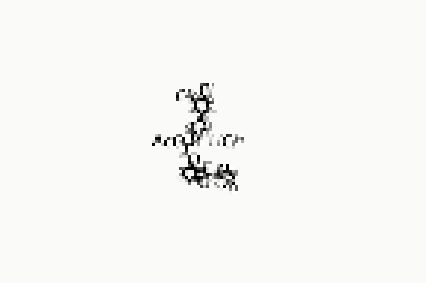 CC(=O)O[C@H](COc1cccc2oc(-c3nnc(C)o3)cc12)CN1CCC(c2ccc(Cl)c(Cl)c2)CC1.Cl